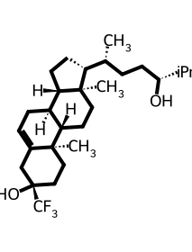 CC(C)[C@H](O)CC[C@@H](C)[C@H]1CC[C@H]2[C@@H]3CC=C4C[C@](O)(C(F)(F)F)CC[C@]4(C)[C@H]3CC[C@]12C